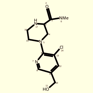 CNC(=O)C1CN(c2ncc(CO)cc2Cl)CCN1